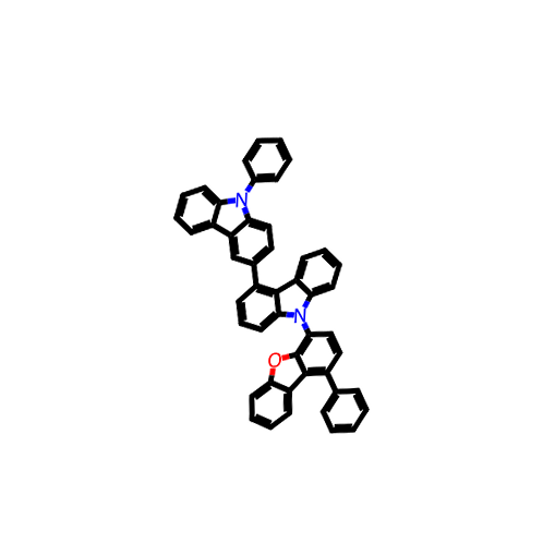 c1ccc(-c2ccc(-n3c4ccccc4c4c(-c5ccc6c(c5)c5ccccc5n6-c5ccccc5)cccc43)c3oc4ccccc4c23)cc1